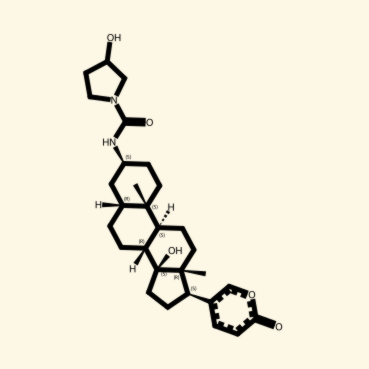 C[C@]12CC[C@H](NC(=O)N3CCC(O)C3)C[C@H]1CC[C@@H]1[C@@H]2CC[C@]2(C)[C@@H](c3ccc(=O)oc3)CC[C@]12O